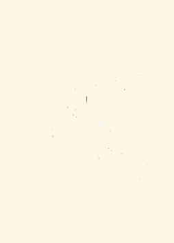 CC(C)(C)C[C@@H](/C=C/C(=O)N1CCc2ccccc21)N[C@@H](Cc1cccs1)C(N)=O.O=C(O)C(F)(F)F